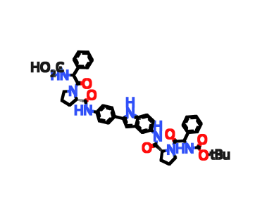 CC(C)(C)OC(=O)NC(C(=O)N1CCC[C@H]1C(=O)Nc1ccc2[nH]c(-c3ccc(NC(=O)[C@@H]4CCCN4C(=O)C(NC(=O)O)c4ccccc4)cc3)cc2c1)c1ccccc1